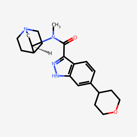 CN(C(=O)c1n[nH]c2cc(C3CCOCC3)ccc12)[C@@H]1CN2CCC1CC2